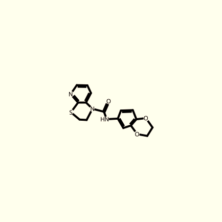 O=C(Nc1ccc2c(c1)OCCO2)N1CCSc2ncccc21